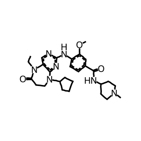 CCN1C(=O)CCN(C2CCCC2)c2nc(Nc3ccc(C(=O)NC4CCN(C)CC4)cc3OC)ncc21